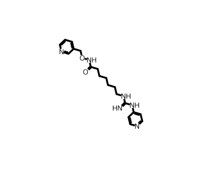 N=C(NCCCCCCC(=O)NOCc1cccnc1)Nc1ccncc1